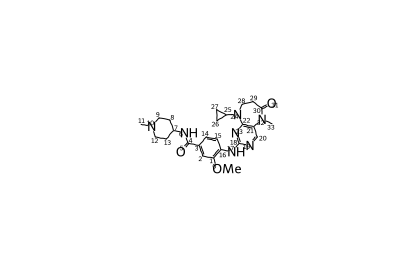 COc1cc(C(=O)NC2CCN(C)CC2)ccc1Nc1ncc2c(n1)N(C1CC1)CCC(=O)N2C